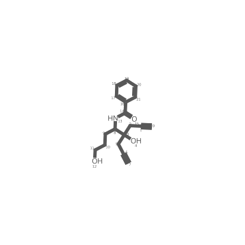 C#CCC(O)(CC#C)C(CCCO)NC(=O)c1ccccc1